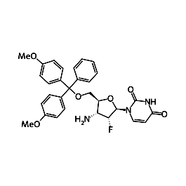 COc1ccc(C(OC[C@H]2O[C@@H](n3ccc(=O)[nH]c3=O)[C@H](F)[C@@H]2N)(c2ccccc2)c2ccc(OC)cc2)cc1